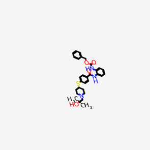 CC(C)(O)CN1CCC(Sc2ccc(C(=O)Nc3ccccc3NC(=O)OCc3ccccc3)cc2)CC1